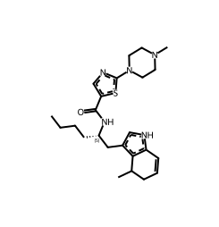 CCCC[C@@H](Cc1c[nH]c2c1C(C)CC=C2)NC(=O)c1cnc(N2CCN(C)CC2)s1